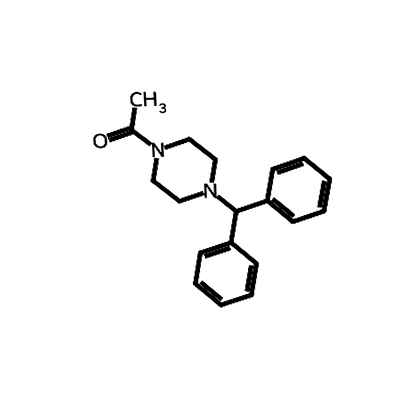 CC(=O)N1CCN(C(c2ccccc2)c2ccccc2)CC1